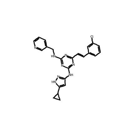 Clc1cccc(/C=C/c2nc(NCc3cccnc3)nc(Nc3cc(C4CC4)[nH]n3)n2)c1